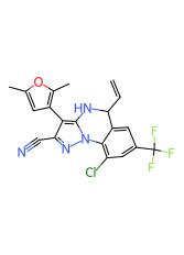 C=CC1Nc2c(-c3cc(C)oc3C)c(C#N)nn2-c2c(Cl)cc(C(F)(F)F)cc21